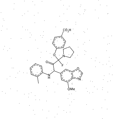 COc1cc(C(Nc2ccccc2C)C(=O)C(F)(Oc2ccc(C(=O)O)cc2)N2CCCC2)cc2ocnc12